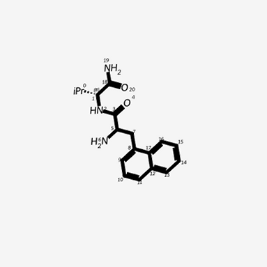 CC(C)[C@@H](NC(=O)C(N)Cc1cccc2ccccc12)C(N)=O